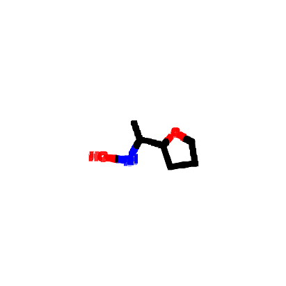 CC(NO)C1CCCO1